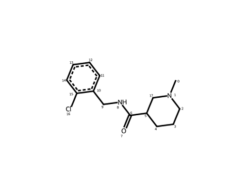 CN1CCCC(C(=O)NCc2ccccc2Cl)C1